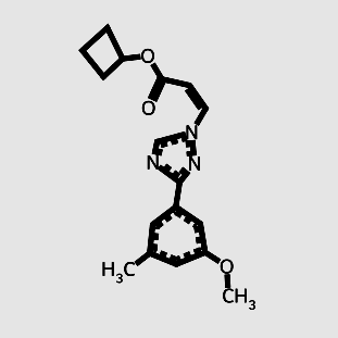 COc1cc(C)cc(-c2ncn(/C=C\C(=O)OC3CCC3)n2)c1